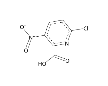 O=CO.O=[N+]([O-])c1ccc(Cl)nc1